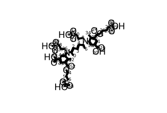 C\C(=C/C=C/C(C)=[N+](\CCCS(=O)(=O)O)c1cc(C(=O)O)cc(C(=O)OCCCS(=O)(=O)O)c1C)N(CCCS(=O)(=O)O)c1cc(C(=O)O)cc(C(=O)OCCCS(=O)(=O)O)c1C